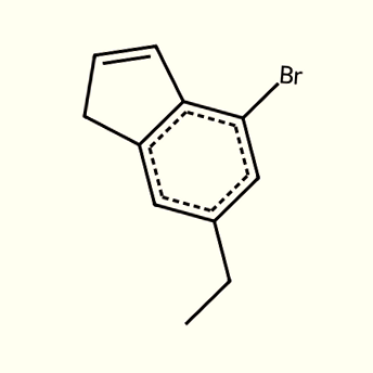 CCc1cc(Br)c2c(c1)CC=C2